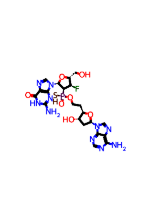 Nc1nc2c(ncn2[C@@H]2O[C@H](CO)[C@@H](F)[C@H]2[P@](=O)(S)OCC[C@H]2O[C@@H](n3cnc4c(N)ncnc43)C[C@@H]2O)c(=O)[nH]1